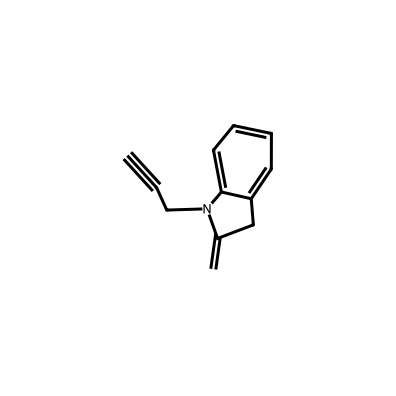 C#CCN1C(=C)Cc2ccccc21